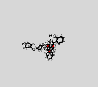 Nc1nnc(-c2ccccc2O)cc1N1CC2CCC(C1)N2c1ccnc(OC2CC(OC3CCNCC3)C2)c1